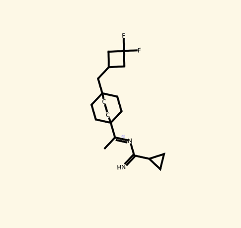 C/C(=N\C(=N)C1CC1)C12CCC(CC3CC(F)(F)C3)(CC1)CC2